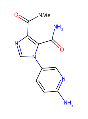 CNC(=O)c1ncn(-c2ccc(N)nc2)c1C(N)=O